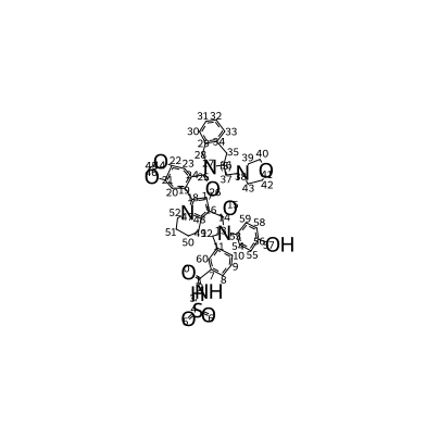 O=C(NC[SH](=O)=O)c1cccc(CN(C(=O)c2cc(-c3cc4c(cc3C(=O)N3Cc5ccccc5C[C@H]3CN3CCOCC3)OCO4)n3c2CCCC3)c2ccc(O)cc2)c1